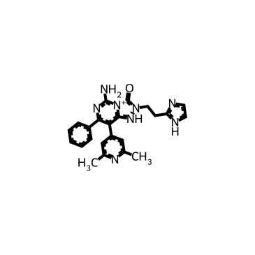 Cc1cc(-c2c(-c3ccccc3)nc(N)[n+]3c(=O)n(CCc4ncc[nH]4)[nH]c23)cc(C)n1